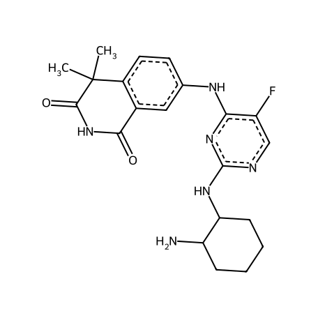 CC1(C)C(=O)NC(=O)c2cc(Nc3nc(NC4CCCCC4N)ncc3F)ccc21